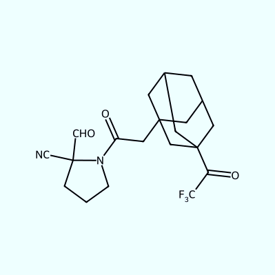 N#CC1(C=O)CCCN1C(=O)CC12CC3CC(C1)CC(C(=O)C(F)(F)F)(C3)C2